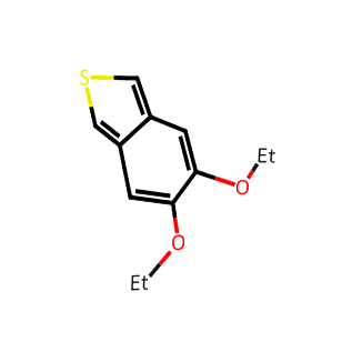 CCOc1cc2cscc2cc1OCC